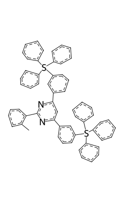 Cc1ccccc1-c1nc(-c2cccc(S(c3ccccc3)(c3ccccc3)c3ccccc3)c2)cc(-c2cccc(S(c3ccccc3)(c3ccccc3)c3ccccc3)c2)n1